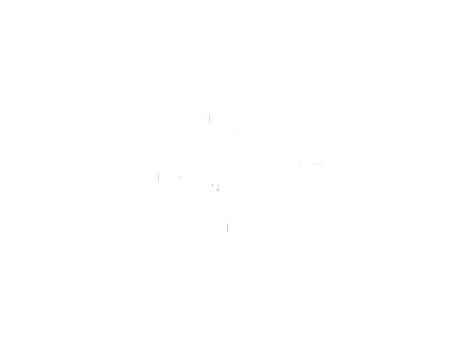 CCCCOC(=O)N(C)C(=O)O.Cl